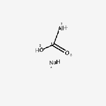 O=[C](O)[AlH].[NaH]